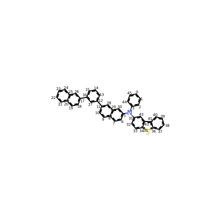 c1ccc(N(c2ccc3ccc(-c4cccc(-c5ccc6ccccc6c5)c4)cc3c2)c2ccc3sc4ccccc4c3c2)cc1